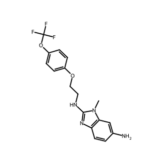 Cn1c(NCCOc2ccc(OC(F)(F)F)cc2)nc2ccc(N)cc21